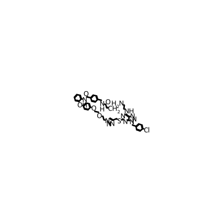 C=CC(=O)NCc1ccc(C(=O)Nc2ccccc2Oc2ccc(OCCOCCn3cc(CSc4nc(NCCN)c5nnn(Cc6ccc(Cl)cc6)c5n4)nn3)cc2)cc1